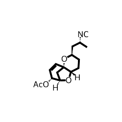 [C-]#[N+][C@H](C)C[C@H]1CC[C@@H]2O[C@@H]3C[C@]2(C=C[C@H]3OC(C)=O)O1